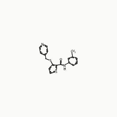 Cc1cccc(NC(=O)c2sccc2SCc2ccncc2)c1